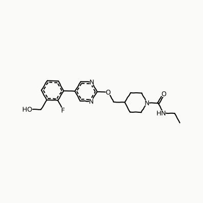 CCNC(=O)N1CCC(COc2ncc(-c3cccc(CO)c3F)cn2)CC1